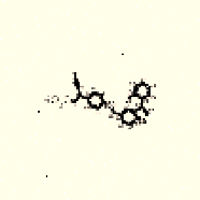 CC#CC(CC(=O)O)c1ccc(OCc2ccc3scc(-c4ccccc4C)c3c2)cc1